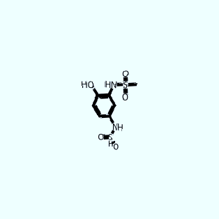 CS(=O)(=O)Nc1cc(N[SH](=O)=O)ccc1O